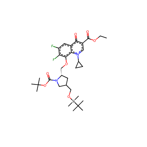 CCOC(=O)c1cn(C2CC2)c2c(OC[C@@H]3CC(CO[Si](C)(C)C(C)(C)C)CN3C(=O)OC(C)(C)C)c(F)c(F)cc2c1=O